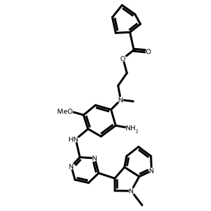 COc1cc(N(C)CCOC(=O)c2ccccc2)c(N)cc1Nc1nccc(-c2cn(C)c3ncccc23)n1